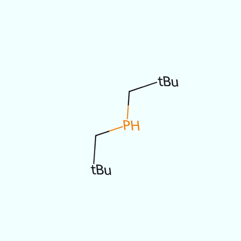 CC(C)(C)CPCC(C)(C)C